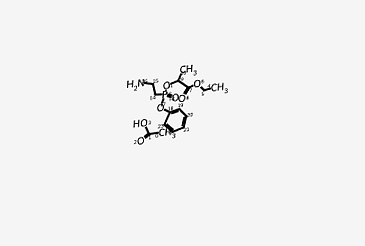 CC(=O)O.CCOC(=O)C(C)OP(=O)(CCN)Oc1ccccc1